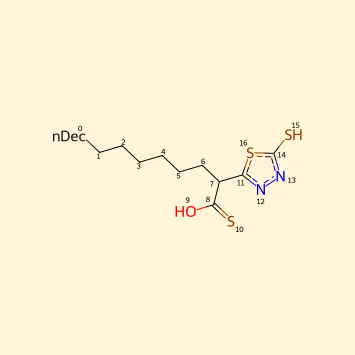 CCCCCCCCCCCCCCCCC(C(O)=S)c1nnc(S)s1